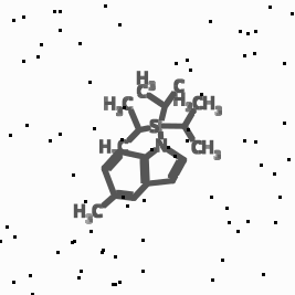 Cc1ccc2c(ccn2[Si](C(C)C)(C(C)C)C(C)C)c1